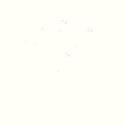 Nc1onc(-c2ccc(Br)s2)c1C(=O)NCCc1cccc(Cl)c1